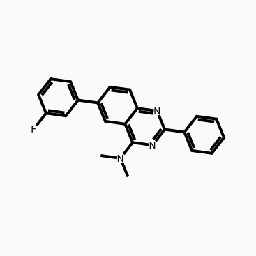 CN(C)c1nc(-c2ccccc2)nc2ccc(-c3cccc(F)c3)cc12